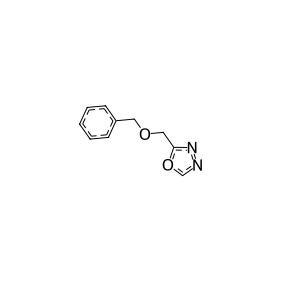 c1ccc(COCc2nnco2)cc1